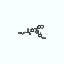 Cc1cc(C(C)(C)C)ccc1-c1csc(N(Cc2ccc(C(=O)NCCC(=O)O)cc2)c2ccc3c(c2)CCCC3)n1